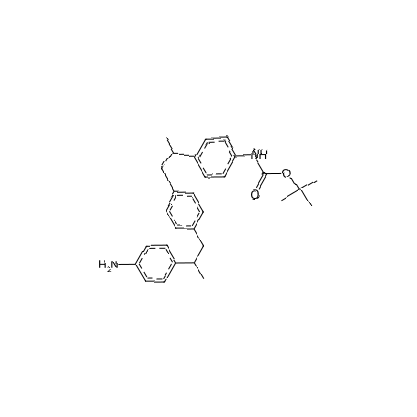 CC(Cc1ccc(CC(C)c2ccc(NC(=O)OC(C)(C)C)cc2)cc1)c1ccc(N)cc1